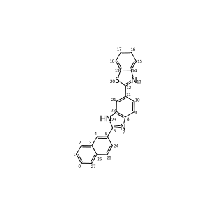 c1ccc2cc(-c3nc4ccc(-c5nc6ccccc6s5)cc4[nH]3)ccc2c1